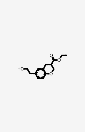 CCOC(=O)C1COc2ccc(CCO)cc2C1